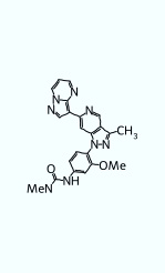 CNC(=O)Nc1ccc(-n2nc(C)c3cnc(-c4cnn5cccnc45)cc32)c(OC)c1